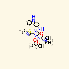 Cc1ncc(-c2nc(N[C@@H]3CCc4[nH]c5ccccc5c4C3)c3c(n2)N(C(=O)OC(C)(C)C)C(CN(C)C)CO3)s1